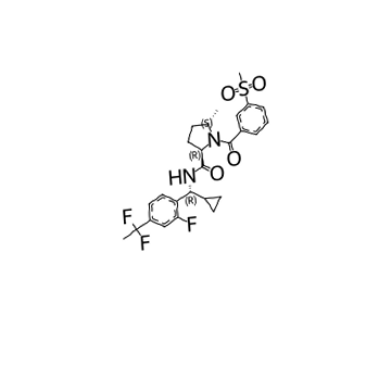 C[C@H]1CC[C@H](C(=O)N[C@@H](c2ccc(C(C)(F)F)cc2F)C2CC2)N1C(=O)c1cccc(S(C)(=O)=O)c1